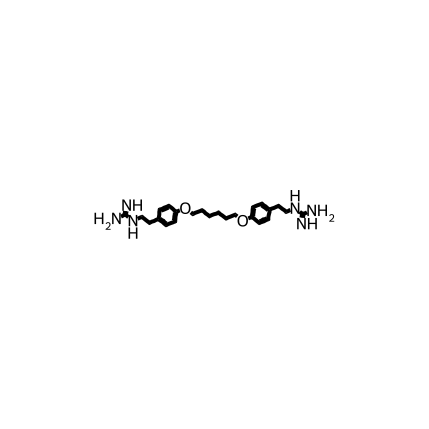 N=C(N)NCCc1ccc(OCCCCCCOc2ccc(CCNC(=N)N)cc2)cc1